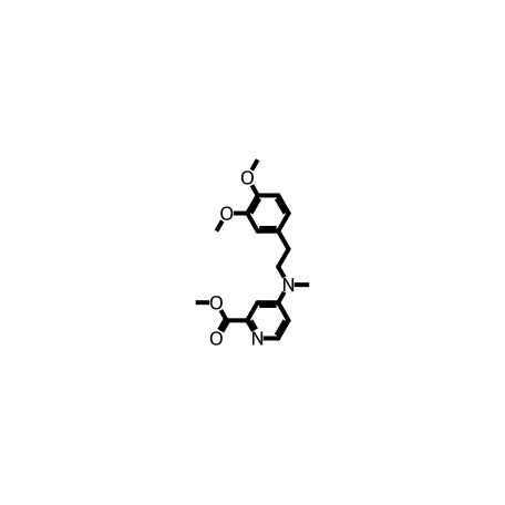 COC(=O)c1cc(N(C)CCc2ccc(OC)c(OC)c2)ccn1